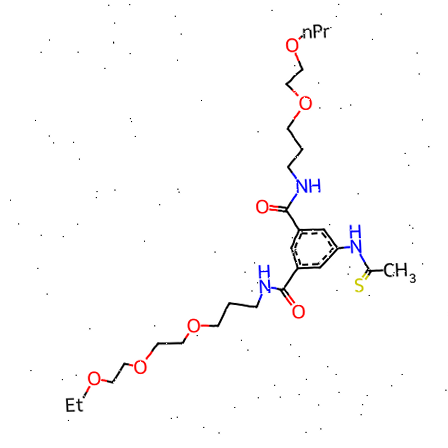 CCCOCCOCCCNC(=O)c1cc(NC(C)=S)cc(C(=O)NCCCOCCOCCOCC)c1